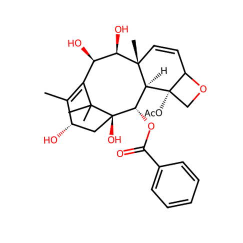 CC(=O)O[C@@]12COC1C=C[C@@]1(C)[C@H](O)[C@H](O)C3=C(C)[C@@H](O)C[C@@](O)([C@@H](OC(=O)c4ccccc4)[C@@H]12)C3(C)C